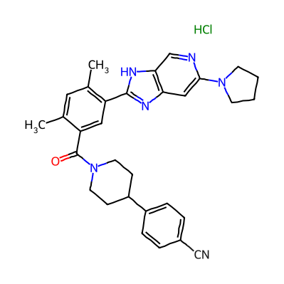 Cc1cc(C)c(-c2nc3cc(N4CCCC4)ncc3[nH]2)cc1C(=O)N1CCC(c2ccc(C#N)cc2)CC1.Cl